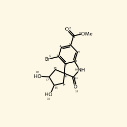 COC(=O)c1cc(Br)c2c(c1)NC(=O)C21CC(O)C(O)C1